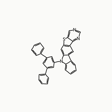 c1ccc(-c2cc(-c3ccccc3)cc(-n3c4ccccc4c4cc5c(cc43)sc3cncnc35)c2)cc1